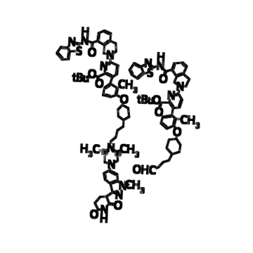 Cc1c(OC2CCC(CCCC=O)CC2)cccc1-c1ccc(N2CCc3cccc(C(=O)Nc4nc5ccccc5s4)c3C2)nc1C(=O)OC(C)(C)C.Cc1c(OC2CCC(CCCCN3[C@@H](C)CN(c4ccc5c(C6CCC(=O)NC6=O)nn(C)c5c4)C[C@@H]3C)CC2)cccc1-c1ccc(N2CCc3cccc(C(=O)Nc4nc5ccccc5s4)c3C2)nc1C(=O)OC(C)(C)C